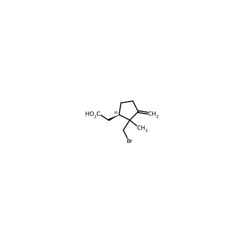 C=C1CC[C@H](CC(=O)O)C1(C)CBr